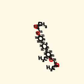 Cc1cc(C2=CCC(c3ccc(OCC4OC4C)cc3)C=C2)ccc1OCC1OC1C